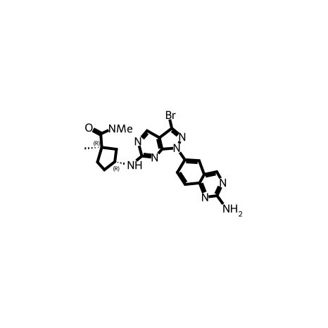 CNC(=O)[C@]1(C)CC[C@@H](Nc2ncc3c(Br)nn(-c4ccc5nc(N)ncc5c4)c3n2)C1